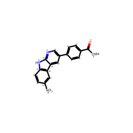 COC(=O)c1ccc(-c2cnc3[nH]c4ccc([N+](=O)[O-])cc4c3c2)cc1